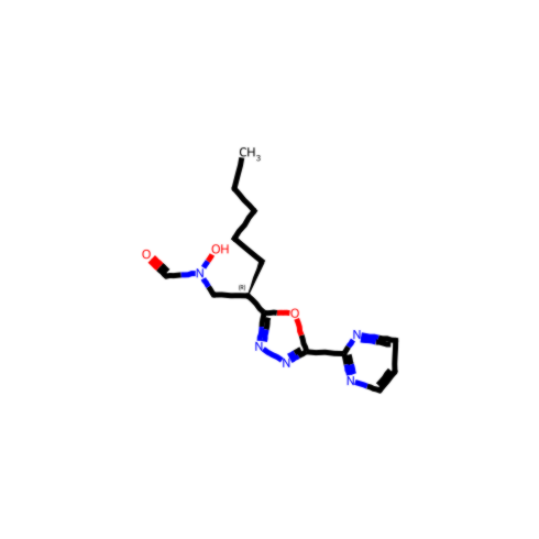 CCCCC[C@H](CN(O)C=O)c1nnc(-c2ncccn2)o1